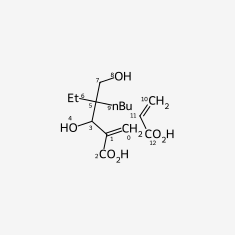 C=C(C(=O)O)C(O)C(CC)(CO)CCCC.C=CC(=O)O